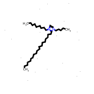 CCCCCCCCCCCCCCCCCCCC1N(CCCCC)C=CN1CCCCCCCCC